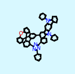 c1ccc(-c2nc(-c3ccccc3)nc(-c3cccc4c3-c3cc(-c5ccc6c(c5)c5cc7c(cc5n6-c5ccccc5)c5ccccc5n7-c5ccccc5)ccc3C43c4ccccc4Oc4ccccc43)n2)cc1